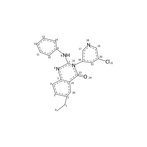 CCc1ccc2nc(Nc3ccccc3)n(-c3cncc(Cl)c3)c(=O)c2c1